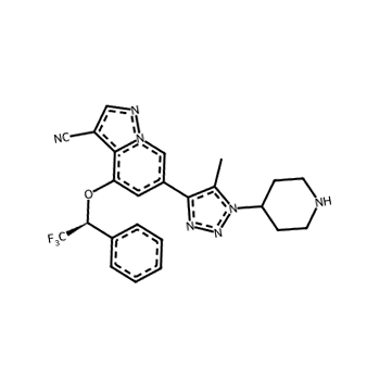 Cc1c(-c2cc(O[C@@H](c3ccccc3)C(F)(F)F)c3c(C#N)cnn3c2)nnn1C1CCNCC1